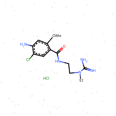 CCN(CCNC(=O)c1cc(Cl)c(N)cc1OC)C(=N)N.Cl